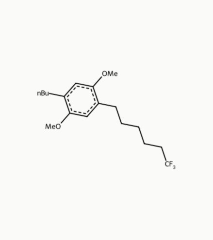 CCCCc1cc(OC)c(CCCCCC(F)(F)F)cc1OC